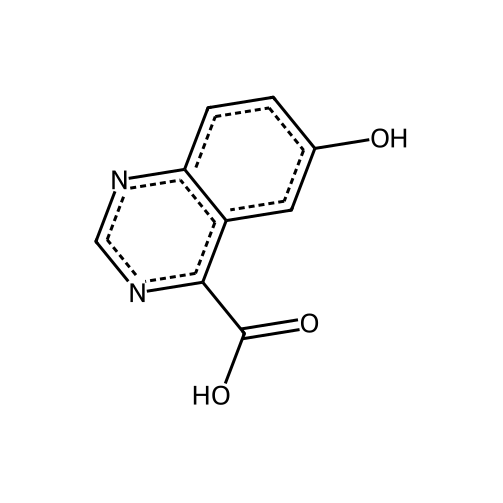 O=C(O)c1ncnc2ccc(O)cc12